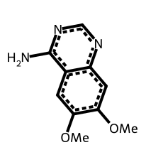 COc1cc2ncnc(N)c2cc1OC